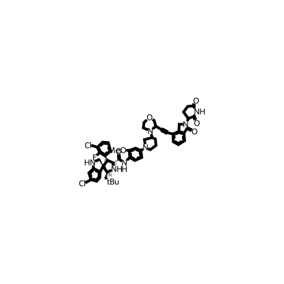 COc1cc(N2CCCC(N3CCOCC3C#Cc3cccc4c3CN(C3CCC(=O)NC3=O)C4=O)C2)ccc1NC(=O)[C@@H]1N[C@@H](CC(C)(C)C)[C@@]2(CNc3cc(Cl)ccc32)[C@H]1c1cccc(Cl)c1F